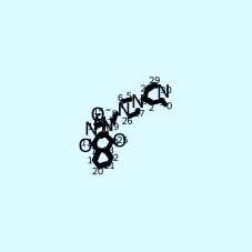 Cc1cc(N2CCN(CCn3c4c(n[n+]3[O-])C(=O)c3ccccc3C4=O)CC2)ccn1